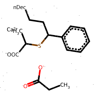 CCC(=O)[O-].CCCCCCCCCCCCC(SC(C)C(=O)[O-])c1ccccc1.[Ca+2]